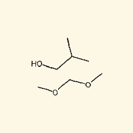 CC(C)CO.COCOC